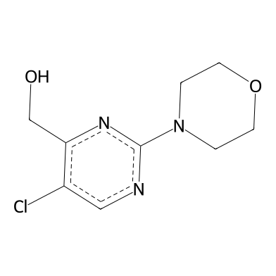 OCc1nc(N2CCOCC2)ncc1Cl